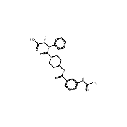 C[C@@H](C(=O)O)N(C(=O)N1CCC(NC(=O)c2cccc(NC(=N)N)c2)CC1)c1ccccc1